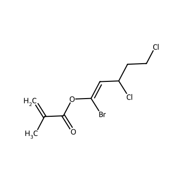 C=C(C)C(=O)OC(Br)=CC(Cl)CCCl